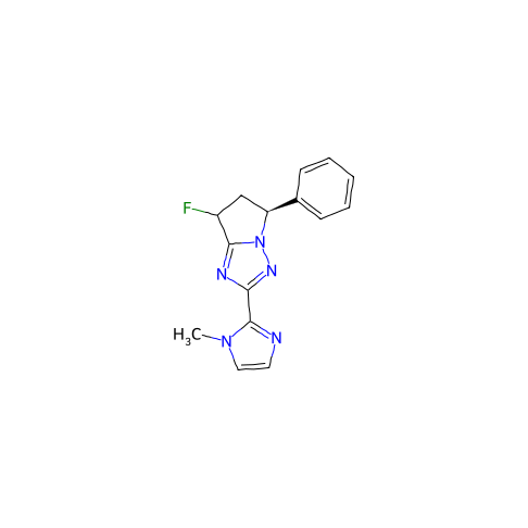 Cn1ccnc1-c1nc2n(n1)[C@H](c1ccccc1)CC2F